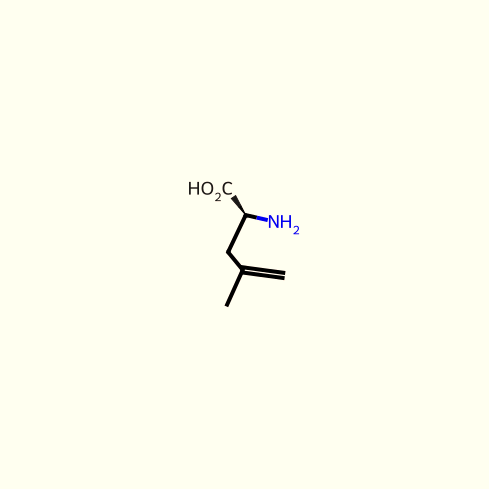 C=C(C)C[C@H](N)C(=O)O